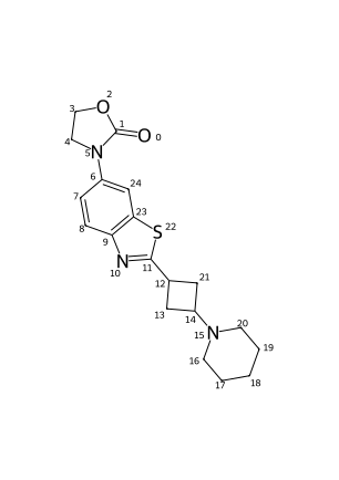 O=C1OCCN1c1ccc2nc(C3CC(N4CCCCC4)C3)sc2c1